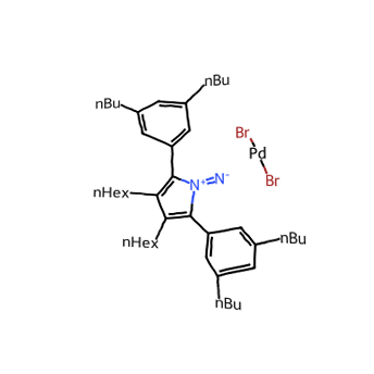 CCCCCCC1=C(c2cc(CCCC)cc(CCCC)c2)[N+](=[N-])C(c2cc(CCCC)cc(CCCC)c2)=C1CCCCCC.[Br][Pd][Br]